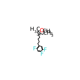 CC[Si](CC)(CCCCCc1cc(F)c(F)cc1F)OC